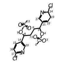 CS(=O)(=O)OC(CCC(OS(C)(=O)=O)c1ccc(Cl)nc1)C1=CCC(Cl)N=C1